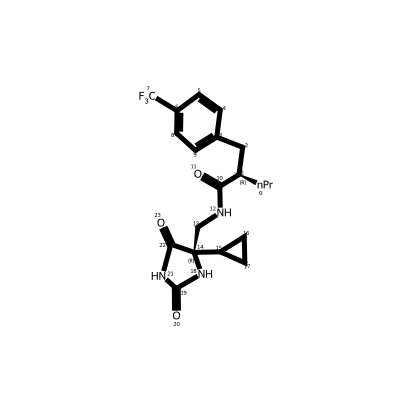 CCC[C@H](Cc1ccc(C(F)(F)F)cc1)C(=O)NC[C@@]1(C2CC2)NC(=O)NC1=O